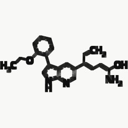 C=C/C(=C\C=C(/N)O)c1cnc2[nH]cc(-c3ccccc3OCC)c2c1